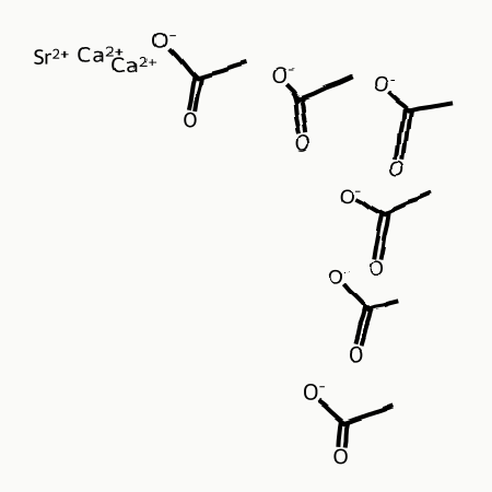 CC(=O)[O-].CC(=O)[O-].CC(=O)[O-].CC(=O)[O-].CC(=O)[O-].CC(=O)[O-].[Ca+2].[Ca+2].[Sr+2]